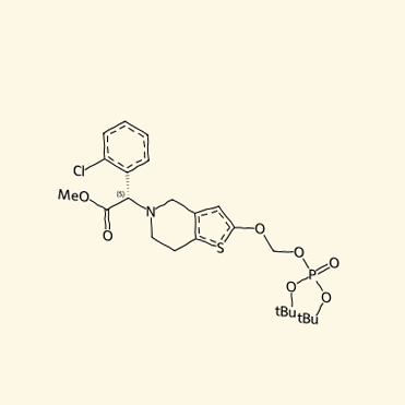 COC(=O)[C@H](c1ccccc1Cl)N1CCc2sc(OCOP(=O)(OC(C)(C)C)OC(C)(C)C)cc2C1